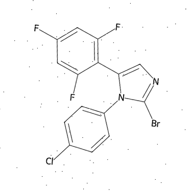 Fc1cc(F)c(-c2cnc(Br)n2-c2ccc(Cl)cc2)c(F)c1